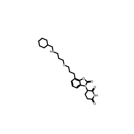 O=C1CCC(n2c(=O)oc3c(CCCOCCCNCC4CCCCC4)cccc32)C(=O)N1